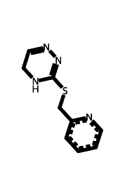 C1=NN=C(SCc2ccccn2)NC1